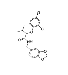 CC(C)C(Oc1ccc(Cl)cc1Cl)C(=O)NCc1ccc2c(c1)OCO2